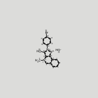 C[n+]1cc2ccccc2c2nn(-c3ccc(Br)cc3)c(O)c21.[OH-]